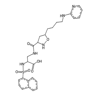 O=C(O)C(CNC(=O)C1CC(CCCCNc2ccccn2)ON1)NS(=O)(=O)c1cccc2ccccc12